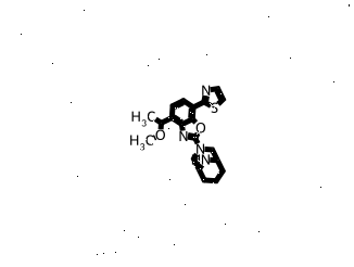 COC(C)c1ccc(-c2nccs2)c2oc(N3CC4CCCC(C3)N4)nc12